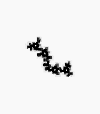 CNc1cc(COc2c(Cl)cc(CC(=O)OC(=O)CNC(=O)c3cc(Cl)c(OCc4cc(NC)cc(C(F)(F)F)c4)c(Cl)c3)cc2Cl)cc(C(F)(F)F)c1